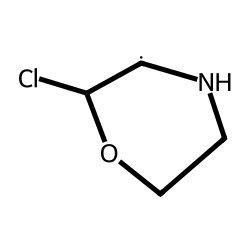 ClC1[CH]NCCO1